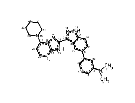 CN(C)c1cncc(-c2ccc3[nH]nc(-c4nc5c(N6CCCCC6)ccnc5[nH]4)c3c2)c1